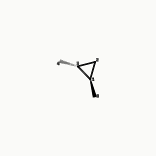 C[C@@H]1C[C@H]1C